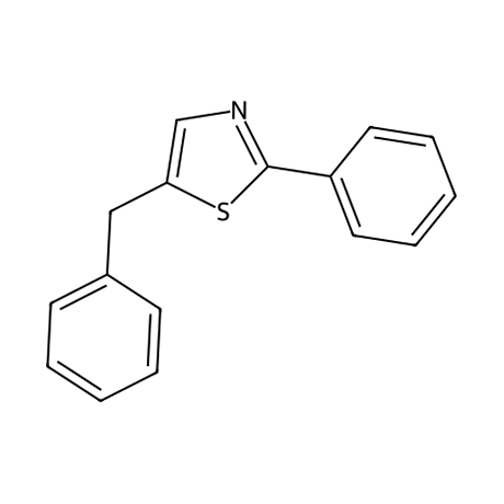 c1ccc(Cc2cnc(-c3ccccc3)s2)cc1